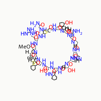 CCCC[C@H]1C(=O)N(C)[C@@H](CCOC)C(=O)N[C@@H](CCCNC(=N)N)C(=O)N[C@H](C(=O)NCC(N)=O)CSCC(=O)N[C@@H](Cc2ccc(O)cc2)C(=O)N(C)[C@@H](C)C(=O)N[C@@H](CC(N)=O)C(=O)N2CCC[C@H]2C(=O)N[C@@H](Cc2cnc[nH]2)C(=O)N[C@@H](CC(C)C)C(=O)N2C[C@H](O)C[C@@H]2C(=O)N[C@@H](Cc2c[nH]c3ccccc23)C(=O)N[C@@H](CO)C(=O)N[C@@H](Cc2csc3ccccc23)C(=O)N1C